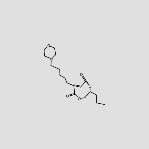 CCCC1COC(=O)/C(CCCCCN2CCOCC2)=C/C(=O)O1